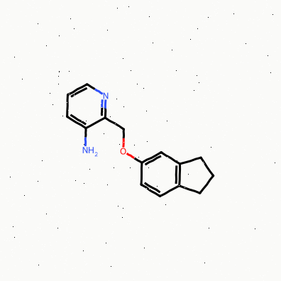 Nc1cccnc1COc1ccc2c(c1)CCC2